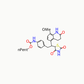 CCCCCOC(=O)Nc1ccc(CC(c2ccc(OC)c3c2CCC(=O)N3)C2SC(=O)NC2=O)cc1